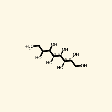 [CH2]CC(O)C(O)[C@H](O)[C@@H](O)[C@H](O)[C@H](O)CO